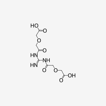 N=C(NC(=O)COCC(=O)O)NC(=O)COCC(=O)O